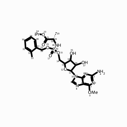 COc1nc(N)nc2c1ncn2C1OC(CO[P@](=O)(N[C@@H](C)C(=O)OC(C)C)OCc2ccccc2C)C(O)C1O